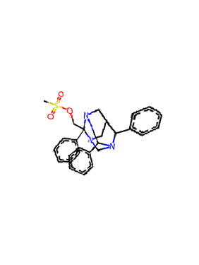 CS(=O)(=O)OCC1(c2ccccc2)N2CC3CN1C(c1ccccc1)N(C2)C3c1ccccc1